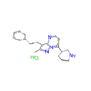 Cc1nn2c(C3CCCNC3)ccnc2c1/C=C/c1ccccc1.Cl